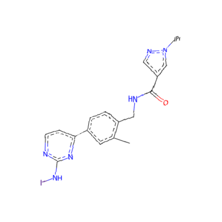 Cc1cc(-c2ccnc(NI)n2)ccc1CNC(=O)c1cnn(C(C)C)c1